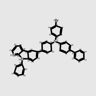 Brc1ccc(N(c2ccc(-c3ccccc3)cc2)C2C=CC(c3ccc4c(c3)c3cccnc3n4-c3ccccc3)=CC2)cc1